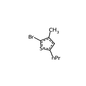 CCCc1cc(C)c(Br)s1